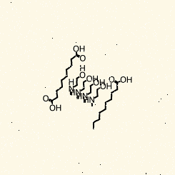 CCCCCCCCCC(=O)O.CNCCO.CNCCO.CNCCO.CNCCO.O=C(O)CCCCCCCCC(=O)O